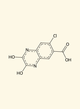 O=C(O)c1cc2nc(O)c(O)nc2cc1Cl